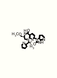 COC[C@@H]1CN([C@@H](C)c2ccccn2)c2nc(-n3c(=O)[nH]c4ncccc43)ccc2C(=O)N1